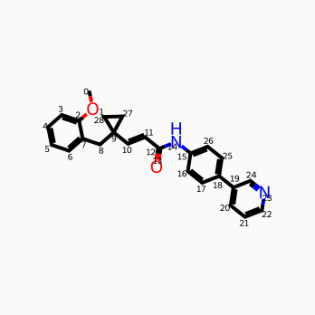 COc1ccccc1CC1(/C=C/C(=O)Nc2ccc(-c3cccnc3)cc2)CC1